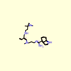 C=C/C(=C\N(C)CCC/N=C(\N)c1cccc2[nH]ccc12)CNCCC1(C)CN1C